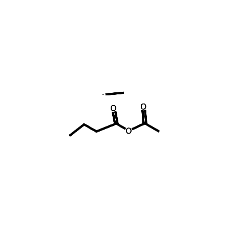 CCCC(=O)OC(C)=O.[CH2]C